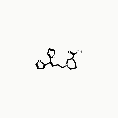 O=C(O)C1CCCN(CCC=C(c2ccco2)c2cccs2)C1